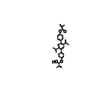 C=C(C)C(=O)Oc1ccc(-c2cc(C(=C)C)c(-c3ccc(OC(O)C(=C)C)cc3)cc2C(=C)C)cc1